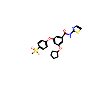 CS(=O)(=O)c1ccc(Oc2cc(OC3CCCC3)cc(C(=O)Nc3nccs3)c2)cc1